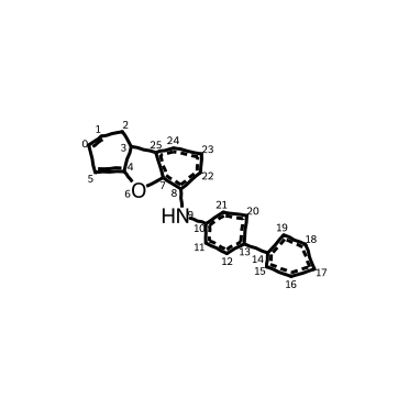 C1=CCC2C(=C1)Oc1c(Nc3ccc(-c4ccccc4)cc3)cccc12